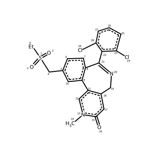 CCS(=O)(=O)Cc1ccc2c(c1)-c1cn(C)c(=O)cc1CN=C2c1c(Cl)cccc1Cl